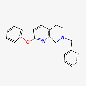 c1ccc(CN2CCc3ccc(Oc4ccccc4)nc3C2)cc1